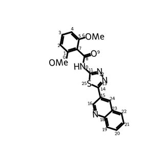 COc1cccc(OC)c1C(=O)Nc1nnc(-c2cnc3ccccc3c2)s1